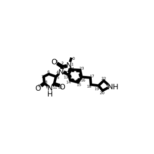 Cn1c(=O)n(C2CCC(=O)NC2=O)c2ccc(CCC3CNC3)cc21